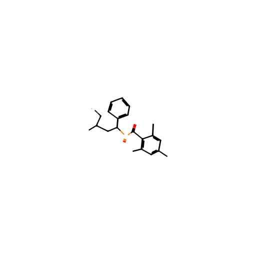 Cc1cc(C)c(C(=O)[P](=O)C(CC(C)CC(C)(C)C)c2ccccc2)c(C)c1